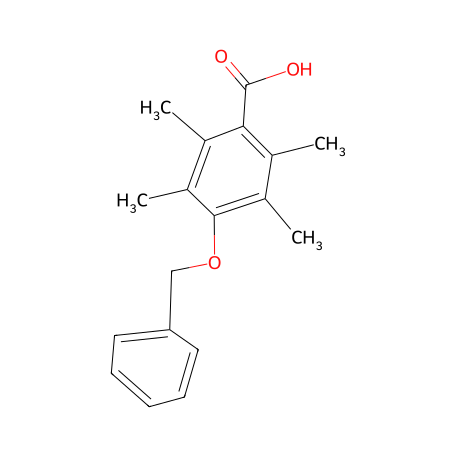 Cc1c(C)c(C(=O)O)c(C)c(C)c1OCc1ccccc1